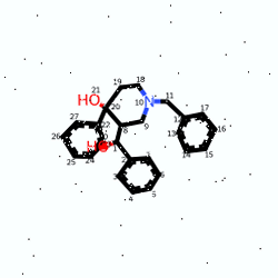 OC(c1ccccc1)C1CN(Cc2ccccc2)CCC1(O)c1ccccc1